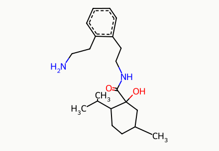 CC1CCC(C(C)C)C(O)(C(=O)NCCc2ccccc2CCN)C1